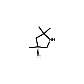 CC[C@]1(C)CNC(C)(C)C1